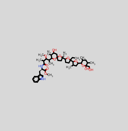 CCC1(C2OC(C3OC(O)(CO)C(C)CC3C)CC2C)CCC(C2(C)CCC3(CC(O)C(C)C(C(C)C(OC)C(C)C(=O)N[C@H](Cc4c[nH]c5ccccc45)C(=O)OC)O3)O2)O1